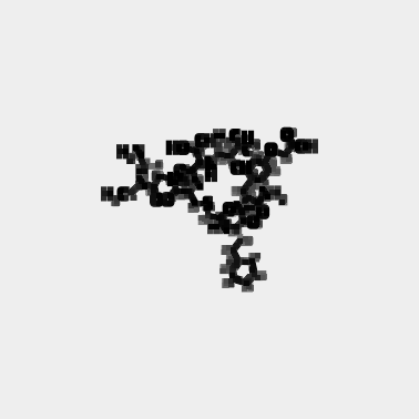 CCNC(=O)[C@H](CCN)NC(=O)[C@H](CSCC(=O)N[C@@H](CCc1ccccc1)C(=O)N[C@@H](Cc1ccc(OCC(=O)O)cc1)C(N)=O)NC(=O)[C@@H](NC[C@@H](C)C(C)C)[C@@H](C)O